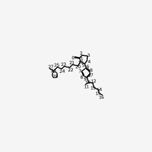 C=C1CCCC(c2ccc(C(C)CCCCC)cc2)C1CCCCCCC(C)=O